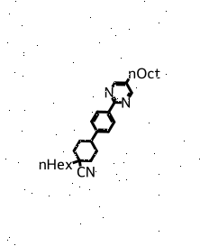 CCCCCCCCc1cnc(-c2ccc(C3CCC(C#N)(CCCCCC)CC3)cc2)nc1